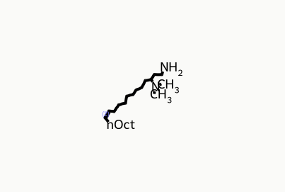 CCCCCCCC/C=C\CCCCCCCCC(CCN)N(C)C